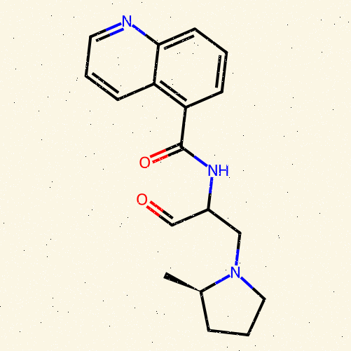 C[C@@H]1CCCN1CC(C=O)NC(=O)c1cccc2ncccc12